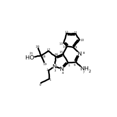 CCCn1nc2c(N)nc3ccccc3c2c1CC(C)(C)O